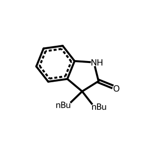 CCCCC1(CCCC)C(=O)Nc2ccccc21